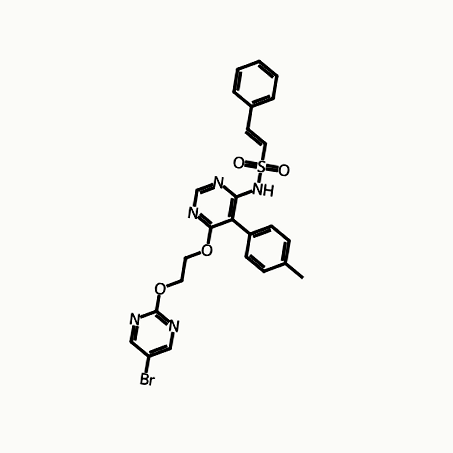 Cc1ccc(-c2c(NS(=O)(=O)C=Cc3ccccc3)ncnc2OCCOc2ncc(Br)cn2)cc1